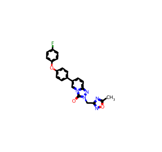 Cc1nc(Cn2nc3ccc(-c4ccc(Oc5ccc(F)cc5)cc4)cn3c2=O)no1